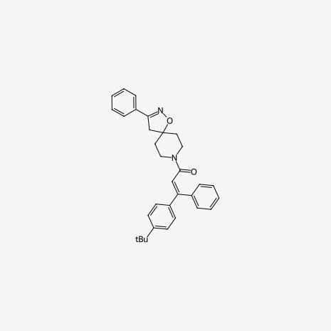 CC(C)(C)c1ccc(/C(=C/C(=O)N2CCC3(CC2)CC(c2ccccc2)=NO3)c2ccccc2)cc1